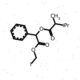 CC(C)C(C)C(=O)OC(C(=O)OCI)c1ccccc1